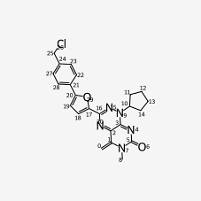 C=c1c2c(nc(=O)n1C)N(C1CCCC1)N=C(c1ccc(-c3ccc(CCl)cc3)o1)N=2